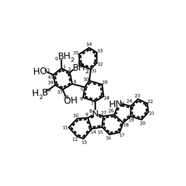 Bc1c(B)c(-c2cc(-n3c4ccccc4c4ccc5c6ccccc6[nH]c5c43)ccc2-c2ccccc2)c(O)c(B)c1O